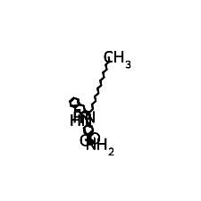 CCCCCCCCCCCCCCC(=NNc1ccc(S(N)(=O)=O)cc1)C(Cc1ccccc1)C(F)(F)F